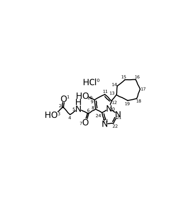 Cl.O=C(O)CNC(=O)c1c(O)cc(C2CCCCCC2)n2ncnc12